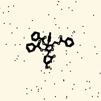 CC#C[C@@]1(OC(=O)c2ccccc2)[C@@H](COC(=O)c2ccccc2)O[C@@H](n2ccc(N)nc2=O)[C@@H]1OC(=O)c1ccccc1